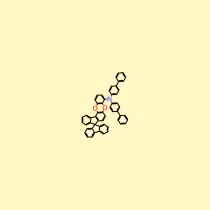 c1ccc(-c2ccc(N(c3ccc(-c4ccccc4)cc3)c3cccc4c3Oc3ccc5c(c3O4)-c3ccccc3C53c4ccccc4-c4ccccc43)cc2)cc1